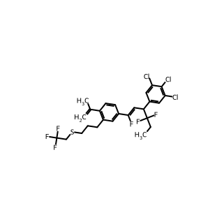 C=C(C)c1ccc(/C(F)=C/C(c2cc(Cl)c(Cl)c(Cl)c2)C(F)(F)CC)cc1CCCSCC(F)(F)F